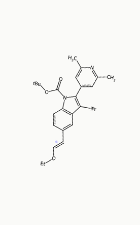 CCO/C=C/c1ccc2c(c1)c(C(C)C)c(-c1cc(C)nc(C)c1)n2C(=O)OC(C)(C)C